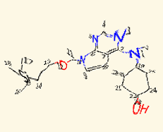 CN(c1ncnc2c1ccn2COCC[Si](C)(C)C)C1CCC(O)CC1